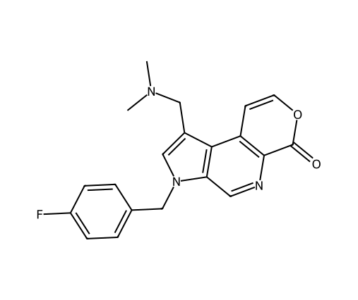 CN(C)Cc1cn(Cc2ccc(F)cc2)c2cnc3c(=O)occc3c12